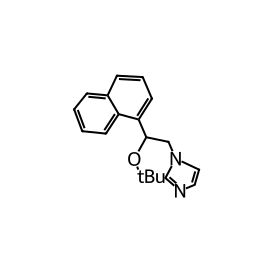 CC(C)(C)OC(Cn1ccnc1)c1cccc2ccccc12